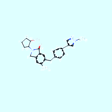 Cc1cc2c(cc1Cc1ccc(-c3cnn(C)c3)cc1)C(=O)N(C1CCCC1O)C2